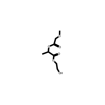 COCC(=O)OC(C)C(=O)OCCO